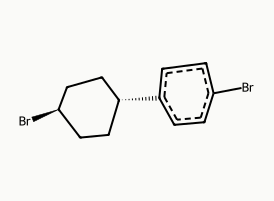 Brc1ccc([C@H]2CC[C@H](Br)CC2)cc1